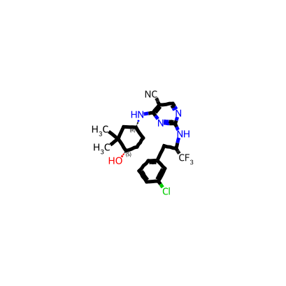 CC1(C)C[C@H](Nc2nc(NC(Cc3cccc(Cl)c3)C(F)(F)F)ncc2C#N)CC[C@@H]1O